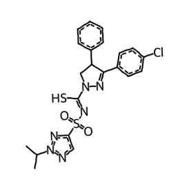 CC(C)n1ncc(S(=O)(=O)/N=C(\S)N2CC(c3ccccc3)C(c3ccc(Cl)cc3)=N2)n1